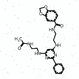 CC(=O)NCCNc1cc(NCCNC(=O)c2ccc3c(c2)OCO3)nc(-c2ccccc2)n1